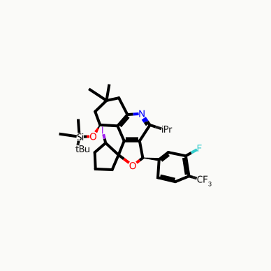 CC(C)c1nc2c(c3c1[C@@H](c1ccc(C(F)(F)F)c(F)c1)OC31CCCC1I)[C@@H](O[Si](C)(C)C(C)(C)C)CC(C)(C)C2